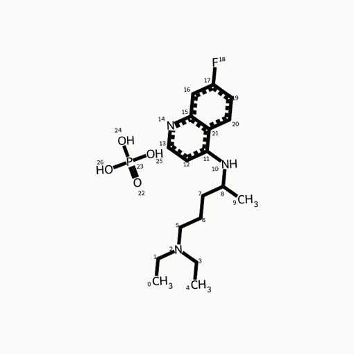 CCN(CC)CCCC(C)Nc1ccnc2cc(F)ccc12.O=P(O)(O)O